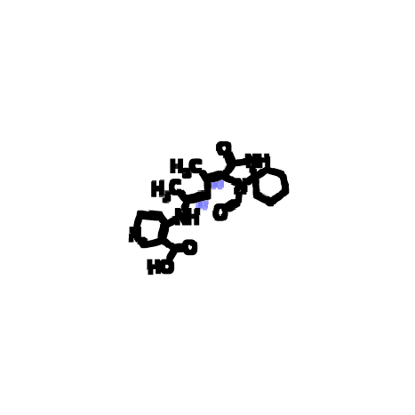 CC(/C=C(\C)Nc1ccncc1C(=O)O)=C1\C(=O)NC2(CCCCC2)N1C=O